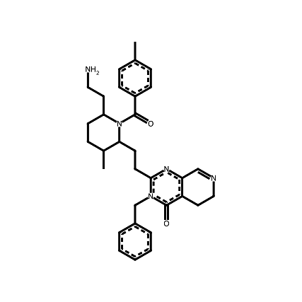 Cc1ccc(C(=O)N2C(CCN)CCC(C)C2CCc2nc3c(c(=O)n2Cc2ccccc2)CCN=C3)cc1